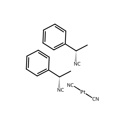 N#[C][Pt][C]#N.[C-]#[N+][C@@H](C)c1ccccc1.[C-]#[N+][C@@H](C)c1ccccc1